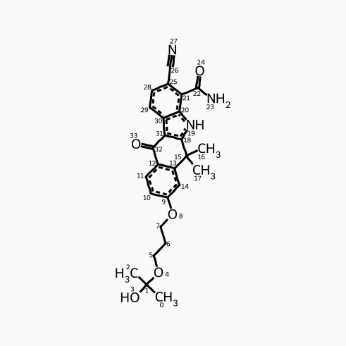 CC(C)(O)OCCCOc1ccc2c(c1)C(C)(C)c1[nH]c3c(C(N)=O)c(C#N)ccc3c1C2=O